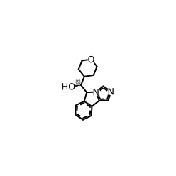 O[C@@H](C1CCOCC1)C1c2ccccc2-c2cncn21